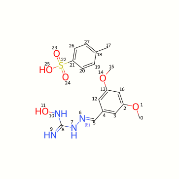 COc1cc(/C=N/NC(=N)NO)cc(OC)c1.Cc1ccc(S(=O)(=O)O)cc1